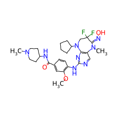 COc1cc(C(=O)NC2CCN(C)CC2)ccc1Nc1ncc2c(n1)N(C1CCCC1)CC(F)(F)/C(=N\O)N2C